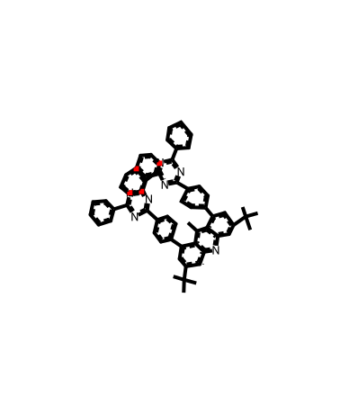 Cc1c2c(-c3ccc(-c4nc(-c5ccccc5)nc(-c5ccccc5)n4)cc3)cc(C(C)(C)C)[c]c2nc2cc(C(C)(C)C)cc(-c3ccc(-c4nc(-c5ccccc5)nc(-c5ccccc5)n4)cc3)c12